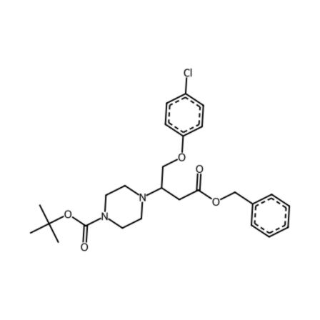 CC(C)(C)OC(=O)N1CCN(C(COc2ccc(Cl)cc2)CC(=O)OCc2ccccc2)CC1